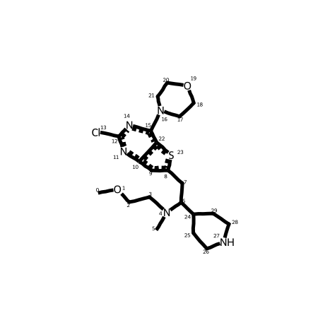 COCCN(C)C(Cc1cc2nc(Cl)nc(N3CCOCC3)c2s1)C1CCNCC1